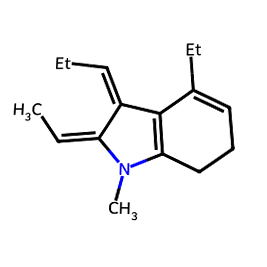 C/C=c1\c(=C/CC)c2c(n1C)CCC=C2CC